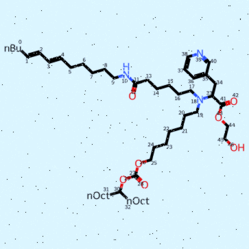 CCCC/C=C/C=C/CCCCCNC(=O)CCCCCN(CCCCCCCOC(=O)OC(CCCCCCCC)CCCCCCCC)C(Cc1cccnc1)C(=O)OCCO